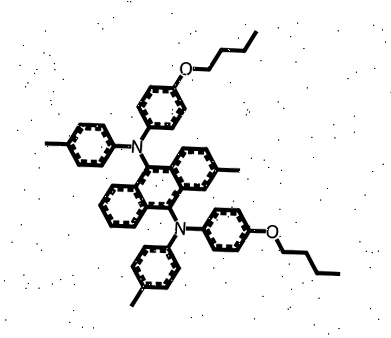 CCCCOc1ccc(N(c2ccc(C)cc2)c2c3ccccc3c(N(c3ccc(C)cc3)c3ccc(OCCCC)cc3)c3cc(C)ccc23)cc1